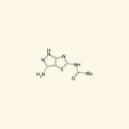 CC(C)(C)C(=O)Nc1nc2[nH]nc(N)c2s1